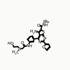 CN(CCO)CC(=O)Nc1cccc(-c2nc(-c3ccco3)nc3sc(C(=O)NC(C)(C)C)c(N)c23)c1